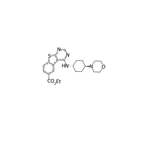 CCOC(=O)c1ccc2sc3ncnc(N[C@H]4CC[C@H](N5CCOCC5)CC4)c3c2c1